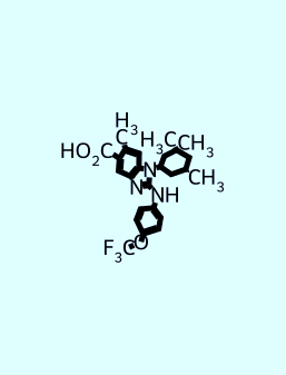 Cc1cc2c(cc1C(=O)O)nc(Nc1ccc(OC(F)(F)F)cc1)n2C1C[C@@H](C)CC(C)(C)C1